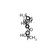 CC1C=c2scnc2=C(S(=O)(=O)Nc2ccc(C(=O)N3CCC(O)(CC(C)(F)F)CC3)cc2)C1